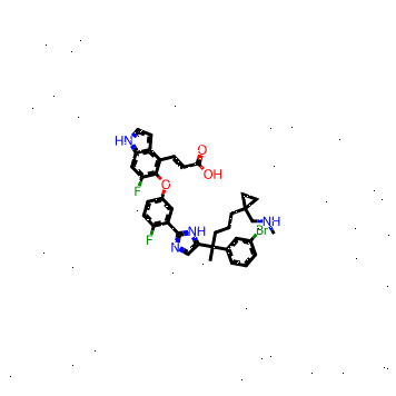 CNCC1(CCCC(C)(c2cccc(Br)c2)c2cnc(-c3cc(Oc4c(F)cc5[nH]ccc5c4/C=C/C(=O)O)ccc3F)[nH]2)CC1